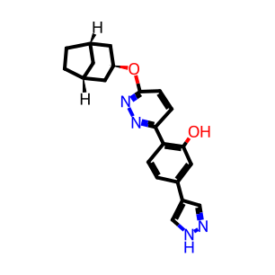 Oc1cc(-c2cn[nH]c2)ccc1-c1ccc(O[C@H]2C[C@@H]3CC[C@@H](C3)C2)nn1